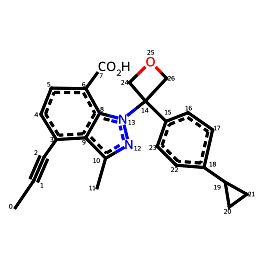 CC#Cc1ccc(C(=O)O)c2c1c(C)nn2C1(c2ccc(C3CC3)cc2)COC1